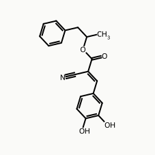 CC(Cc1ccccc1)OC(=O)C(C#N)=Cc1ccc(O)c(O)c1